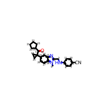 Cn1c(CNc2ccc(C#N)cc2)nc2cc(C3(C(=O)C4CCCC4)CC3)ccc21